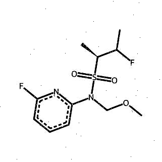 COCN(c1cccc(F)n1)S(=O)(=O)[C@@H](C)C(C)F